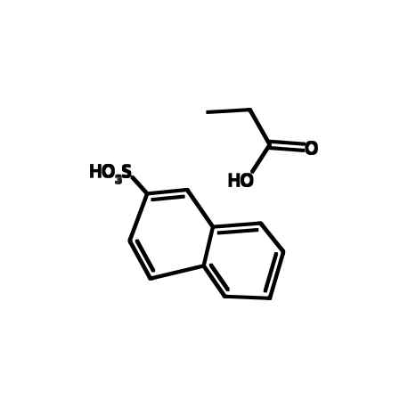 CCC(=O)O.O=S(=O)(O)c1ccc2ccccc2c1